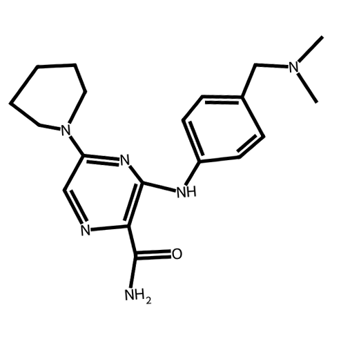 CN(C)Cc1ccc(Nc2nc(N3CCCCC3)cnc2C(N)=O)cc1